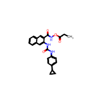 CCC(=O)ONC(=O)c1cc2ccccc2cc1NC(=O)Nc1ccc(C2CC2)cc1